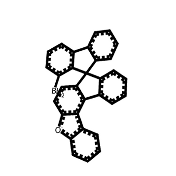 Bc1cccc2c1C1(c3ccccc3-2)c2ccccc2-c2c1ccc1oc3ccccc3c21